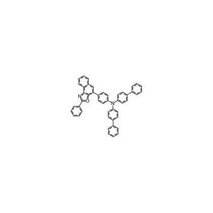 c1ccc(-c2ccc(N(c3ccc(-c4ccccc4)cc3)c3ccc(-c4cc5ccccc5c5nc(-c6ccccc6)oc45)cc3)cc2)cc1